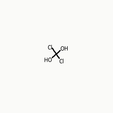 OC(O)(Cl)Cl